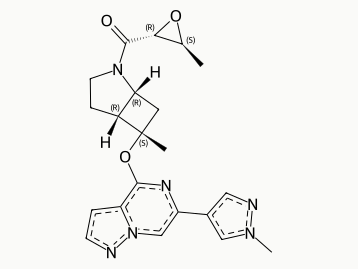 C[C@@H]1O[C@H]1C(=O)N1CC[C@@H]2[C@H]1C[C@]2(C)Oc1nc(-c2cnn(C)c2)cn2nccc12